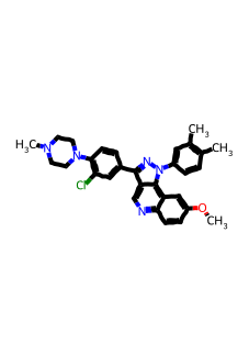 COc1ccc2ncc3c(-c4ccc(N5CCN(C)CC5)c(Cl)c4)nn(-c4ccc(C)c(C)c4)c3c2c1